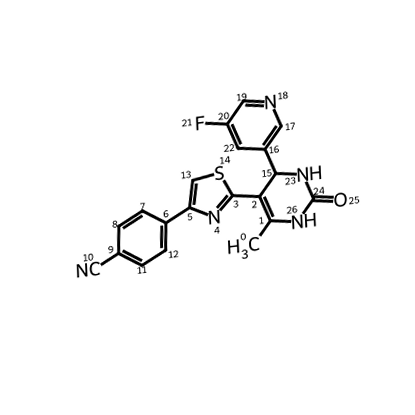 CC1=C(c2nc(-c3ccc(C#N)cc3)cs2)C(c2cncc(F)c2)NC(=O)N1